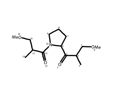 COCC(C)C(=O)C1CCCN1C(=O)C(C)COC